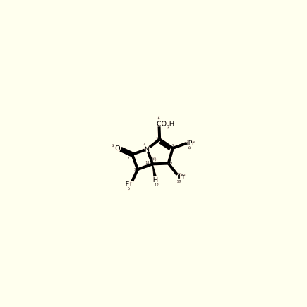 CCC1C(=O)N2C(C(=O)O)=C(C(C)C)C(C(C)C)[C@H]12